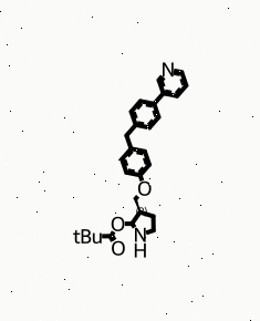 CC(C)(C)C(=O)OC1NCC[C@@H]1COc1ccc(Cc2ccc(-c3cccnc3)cc2)cc1